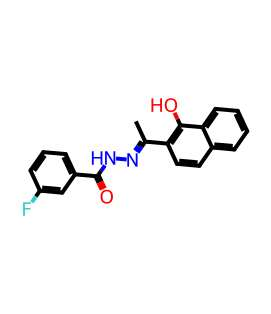 C/C(=N\NC(=O)c1cccc(F)c1)c1ccc2ccccc2c1O